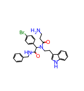 NCCC(=O)N(CCc1c[nH]c2ccccc12)C(C(=O)NCc1ccccc1)c1ccc(Br)cc1